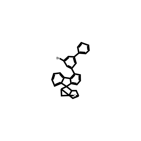 Brc1cc(-c2ccccc2)cc(-c2cccc3c2-c2ccccc2C32C3CC4CC(C3)C2C4)c1